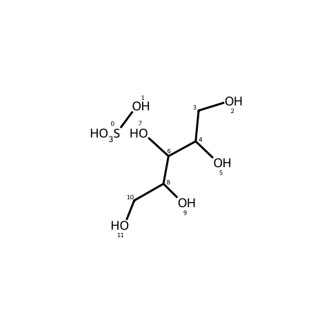 O=S(=O)(O)O.OCC(O)C(O)C(O)CO